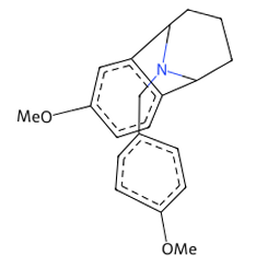 COc1ccc(CN2C3CCCC2c2cc(OC)ccc23)cc1